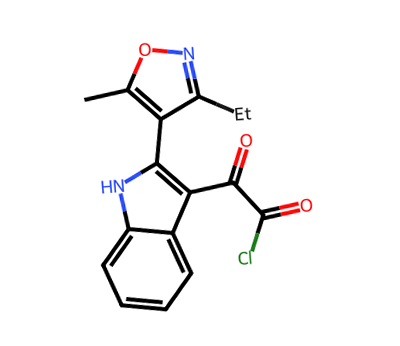 CCc1noc(C)c1-c1[nH]c2ccccc2c1C(=O)C(=O)Cl